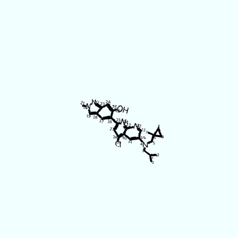 CC(C)CN(CC1(C)CC1)c1cnc2nc(-c3cc4cn(C)nc4cc3O)cc(Cl)c2c1